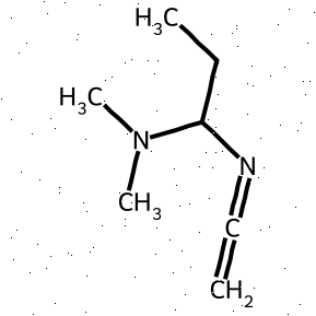 C=C=NC(CC)N(C)C